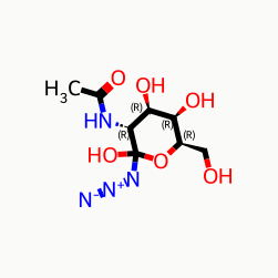 CC(=O)N[C@@H]1[C@@H](O)[C@@H](O)[C@@H](CO)OC1(O)N=[N+]=[N-]